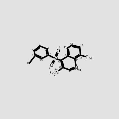 Cc1cccc(S(=O)(=O)c2c([N+](=O)[O-])cnc3c(F)cccc23)c1